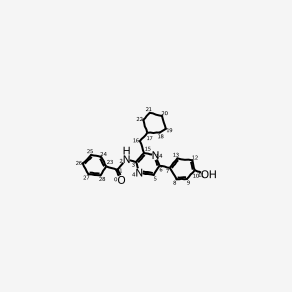 O=C(Nc1ncc(-c2ccc(O)cc2)nc1CC1CCCCC1)c1ccccc1